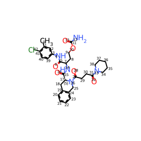 Cc1cc(NC(=O)C(CCOC(N)=O)NC(=O)[C@@H]2Cc3ccccc3CN2C(=O)CCC(=O)N2CCCCC2)ccc1Cl